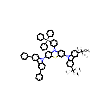 CC(C)(C)c1ccc2c(c1)c1cc(C(C)(C)C)ccc1n2-c1ccc2c(c1)Sc1cc(-n3c4ccc(-c5ccccc5)cc4c4cc(-c5ccccc5)ccc43)ccc1N2c1cccc([Si](c2ccccc2)(c2ccccc2)c2ccccc2)c1